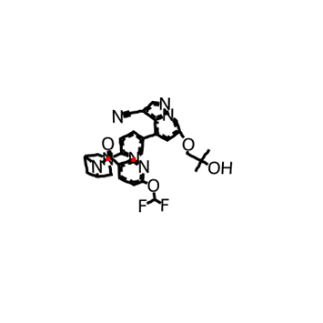 CC(C)(O)COc1cc(-c2ccc(N3CC4CC(C3)N4C(=O)c3ccc(OC(F)F)nc3)nc2)c2c(C#N)cnn2c1